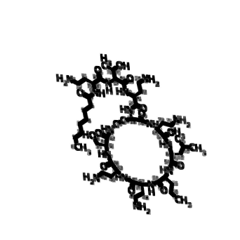 CCCCCCCC(=O)N[C@@H](CCN)C(=O)N[C@H](C(=O)N[C@@H](CCN)C(=O)N[C@H]1CCNC(=O)[C@H](CO)NC(=O)[C@H](CCN)NC(=O)[C@H](CCN)NC(=O)[C@H](CCC)NC(=O)[C@@H](CC(C)C)NC(=O)[C@H](CCN)NC1=O)[C@@H](C)O